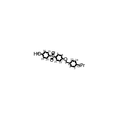 CC(C)c1ccc(COc2ccc(S(=O)(=O)c3ccc(O)cc3)cc2)cc1